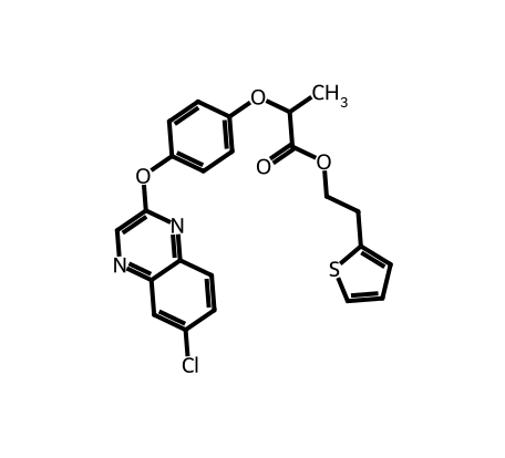 CC(Oc1ccc(Oc2cnc3cc(Cl)ccc3n2)cc1)C(=O)OCCc1cccs1